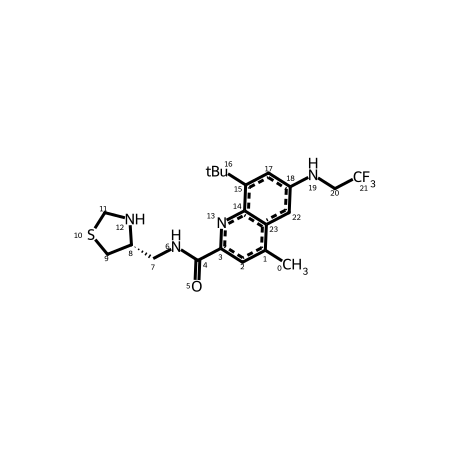 Cc1cc(C(=O)NC[C@@H]2CSCN2)nc2c(C(C)(C)C)cc(NCC(F)(F)F)cc12